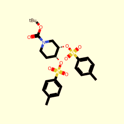 Cc1ccc(S(=O)(=O)O[C@H]2CN(C(=O)OC(C)(C)C)CC[C@H]2OS(=O)(=O)c2ccc(C)cc2)cc1